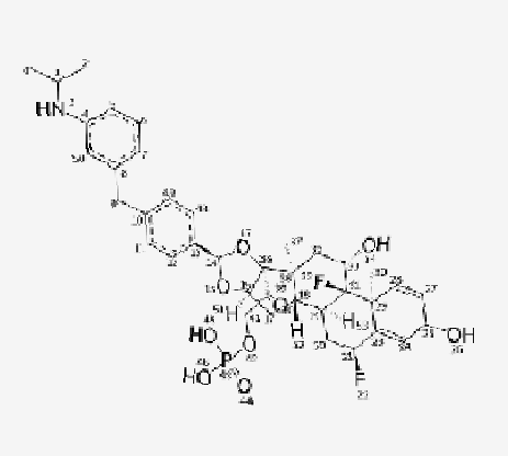 CC(C)Nc1cccc(Cc2ccc([C@@H]3O[C@@H]4C[C@H]5[C@@H]6C[C@H](F)C7=CC(O)C=C[C@]7(C)[C@@]6(F)[C@@H](O)C[C@]5(C)[C@]4(C(=O)COP(=O)(O)O)O3)cc2)c1